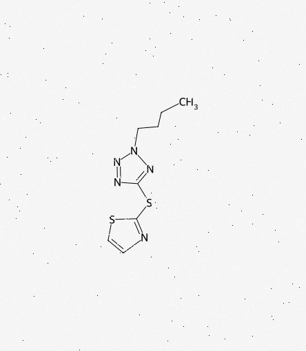 CCCCn1nnc(Sc2nccs2)n1